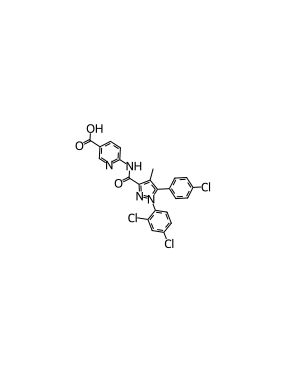 Cc1c(C(=O)Nc2ccc(C(=O)O)cn2)nn(-c2ccc(Cl)cc2Cl)c1-c1ccc(Cl)cc1